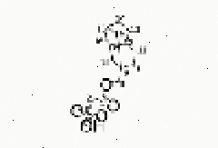 O=C(CS(=O)(=O)O)OCC12CCC3CCC(CC3C1)C2